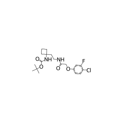 CC(C)(C)OC(=O)NC1(CCNC(=O)COc2ccc(Cl)c(F)c2)CCC1